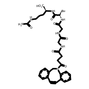 CC[C@H](C)[C@H](NC(=O)CNC(=O)CNC(=O)CCC(=O)N1Cc2ccccc2C#Cc2ccccc21)C(=O)N[C@@H](CCCNC(N)=O)C(=O)O